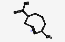 CC1/C=C/CC(C(=O)O)CCC1